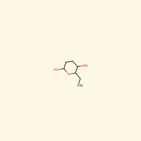 CC(=O)OCC1OC(O)CCC1O